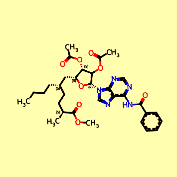 CCCC[C@@H](CC[C@H](C)C(=O)OC)C[C@H]1O[C@@H](n2cnc3c(NC(=O)c4ccccc4)ncnc32)C(OC(C)=O)[C@H]1OC(C)=O